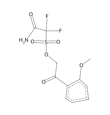 COc1ccccc1C(=O)COS(=O)(=O)C(F)(F)C(N)=O